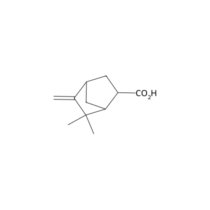 C=C1C2CC(C(=O)O)C(C2)C1(C)C